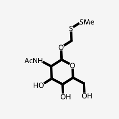 CSSCOC1OC(CO)C(O)C(O)C1NC(C)=O